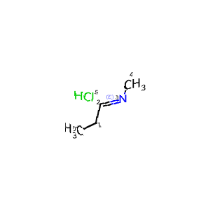 CC/C=N/C.Cl